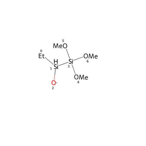 CC[SiH]([O])[Si](OC)(OC)OC